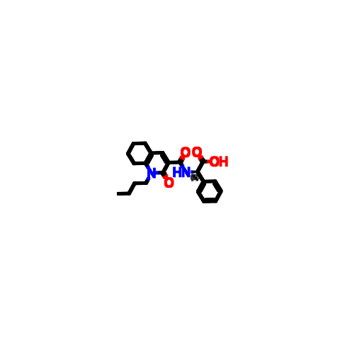 CCCCn1c2c(cc(C(=O)N[C@H](C(=O)O)c3ccccc3)c1=O)CCCC2